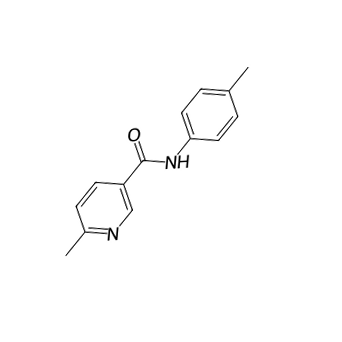 Cc1ccc(NC(=O)c2ccc(C)nc2)cc1